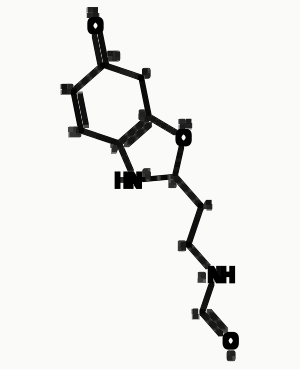 O=CNCCC1NC2=C(CC(=O)C=C2)O1